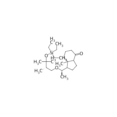 CC[Si](CC)(CC)OC(C)(C)[C@@H](C)CO[C@H](C)C1CCC2C(=O)CCCC21C